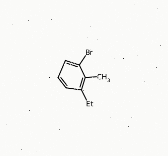 CCc1cccc(Br)c1C